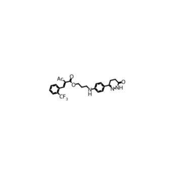 CC(=O)/C(=C\c1ccccc1C(F)(F)F)C(=O)OCCCNc1ccc(C2=NNC(=O)CC2)cc1